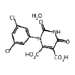 O.O=C(O)c1c(C(=O)O)n(-c2cc(Cl)cc(Cl)c2)c(=O)[nH]c1=O